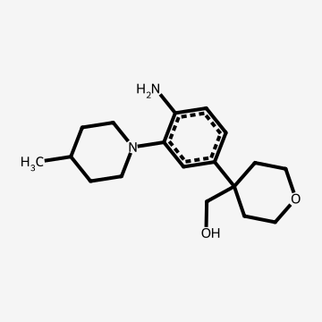 CC1CCN(c2cc(C3(CO)CCOCC3)ccc2N)CC1